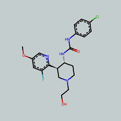 COc1cnc([C@@H]2CN(CCO)CC[C@H]2NC(=O)Nc2ccc(Cl)cc2)c(F)c1